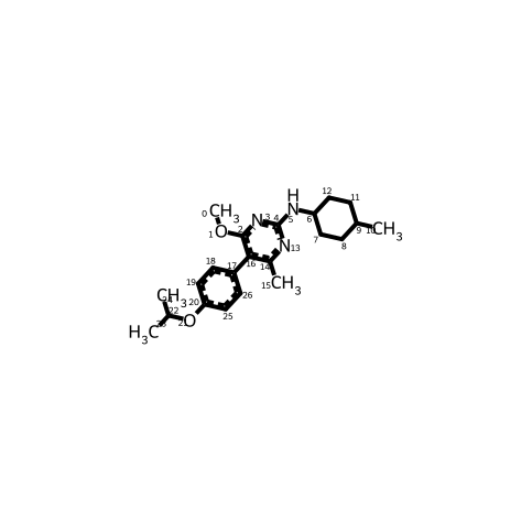 COc1nc(NC2CCC(C)CC2)nc(C)c1-c1ccc(OC(C)C)cc1